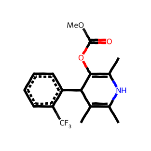 COC(=O)OC1=C(C)NC(C)=C(C)C1c1ccccc1C(F)(F)F